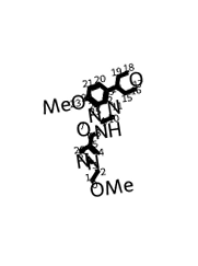 COCCn1cc(C(=O)Nc2cnc3c(C4CCOCC4)ccc(OC)c3n2)cn1